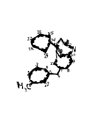 Cc1cccc(Cc2ccc3nnc(-c4ccccc4)n3c2)c1